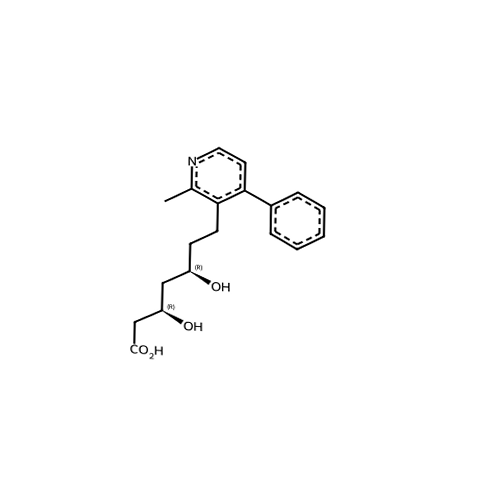 Cc1nccc(-c2ccccc2)c1CC[C@@H](O)C[C@@H](O)CC(=O)O